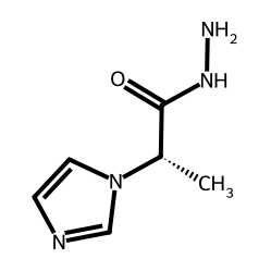 C[C@@H](C(=O)NN)n1ccnc1